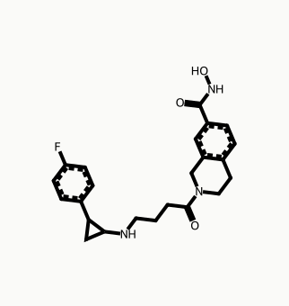 O=C(NO)c1ccc2c(c1)CN(C(=O)CCCNC1CC1c1ccc(F)cc1)CC2